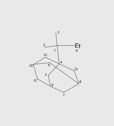 CCC(C)(C)C12CC3CC(CC(C3)C1)C2